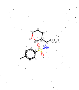 Cc1ccc(S(=O)(=O)NC(C(=O)O)[C@@H]2CCCOC2)cc1